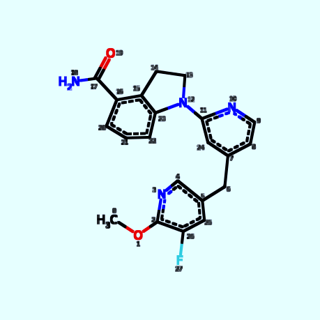 COc1ncc(Cc2ccnc(N3CCc4c(C(N)=O)cccc43)c2)cc1F